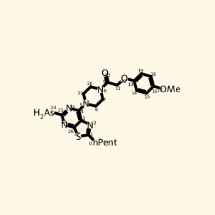 CCCCCc1nc2c(N3CCN(C(=O)COc4ccc(OC)cc4)CC3)nc([AsH2])nc2s1